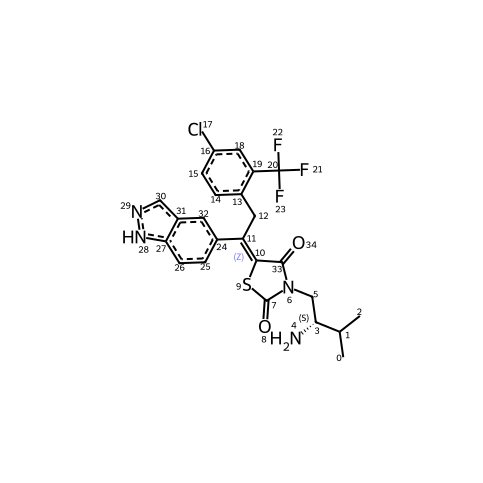 CC(C)[C@H](N)CN1C(=O)S/C(=C(/Cc2ccc(Cl)cc2C(F)(F)F)c2ccc3[nH]ncc3c2)C1=O